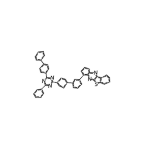 c1ccc(-c2ccc(-c3nc(-c4ccccc4)nc(-c4ccc(-c5cccc(-c6cccc7nc8c(nc67)sc6ccccc68)c5)cc4)n3)cc2)cc1